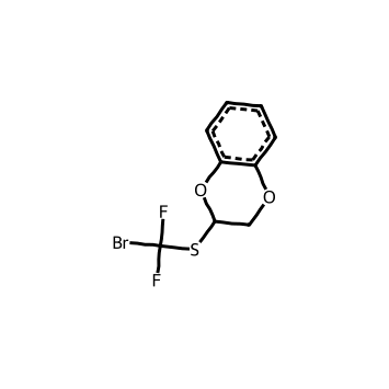 FC(F)(Br)SC1COc2ccccc2O1